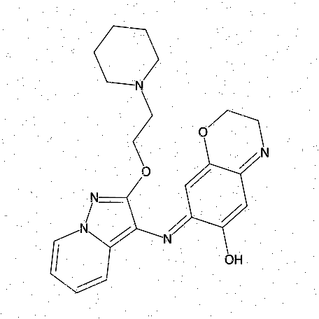 OC1=CC2=NCCOC2=C/C1=N\c1c(OCCN2CCCCC2)nn2ccccc12